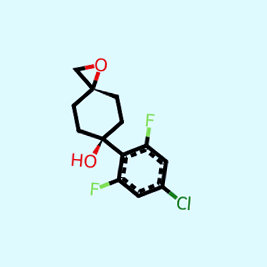 O[C@]1(c2c(F)cc(Cl)cc2F)CC[C@@]2(CC1)CO2